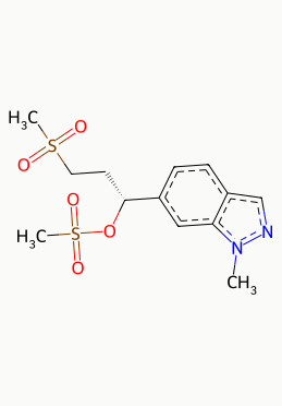 Cn1ncc2ccc([C@@H](CCS(C)(=O)=O)OS(C)(=O)=O)cc21